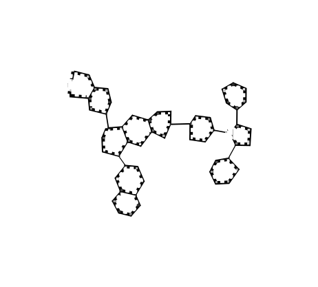 c1ccc(-c2ccc(-c3ccccc3)n2-c2ccc(-c3ccc4cc5c(-c6ccc7ccccc7c6)ccc(-c6ccc7ccccc7c6)c5cc4c3)cc2)cc1